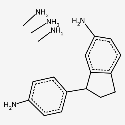 CN.CN.CN.Nc1ccc(C2CCc3ccc(N)cc32)cc1